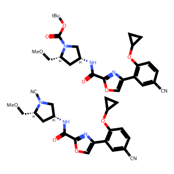 COC[C@H]1C[C@@H](NC(=O)c2nc(-c3cc(C#N)ccc3OC3CC3)co2)CN1C#N.COC[C@H]1C[C@@H](NC(=O)c2nc(-c3cc(C#N)ccc3OC3CC3)co2)CN1C(=O)OC(C)(C)C